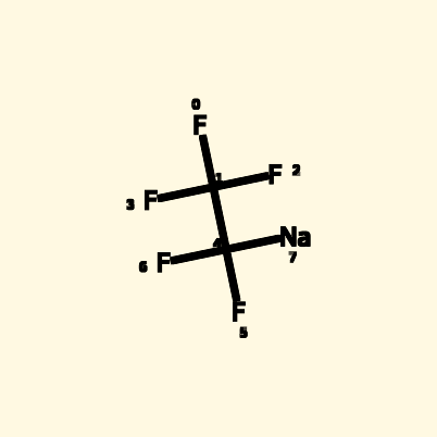 FC(F)(F)[C](F)(F)[Na]